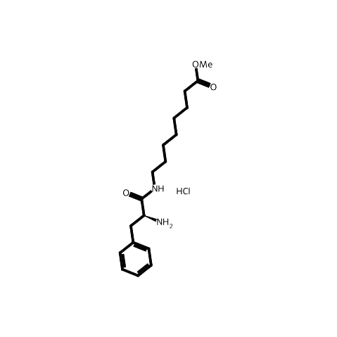 COC(=O)CCCCCCCNC(=O)[C@@H](N)Cc1ccccc1.Cl